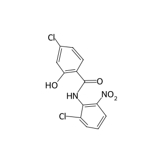 O=C(Nc1c(Cl)cccc1[N+](=O)[O-])c1ccc(Cl)cc1O